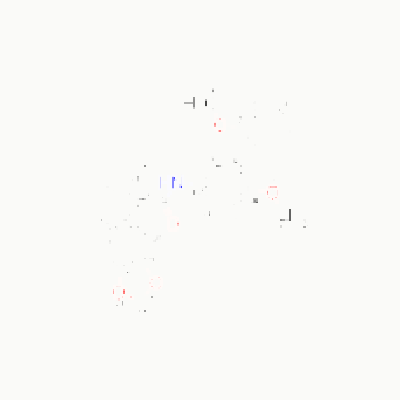 COc1ccccc1-c1cc(NC(=O)C2(c3ccc4c(c3)OCO4)CC2)ccc1OC